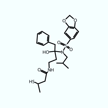 CC(C)CN(C(O)(CCNC(=O)CC(C)S)Cc1ccccc1)S(=O)(=O)c1ccc2c(c1)OCO2